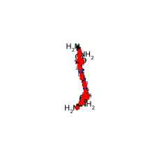 CC1=C(/C=C/C(C)=C/C=C/C(C)=C/C=C/C=C(C)/C=C/C=C(C)/C=C/C2=C(C)C(=O)C(OC(=O)C(N)CCCCN)CC2(C)C)C(C)(C)CC(OC(=O)C(N)CCCCN)C1=O